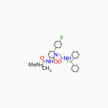 CN[C@@H](C)C(=O)Nc1ccc(-c2ccc(F)cc2)n(CC(=O)NCC(c2ccccc2)c2ccccc2)c1=O